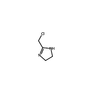 ClCC1=NCCN1